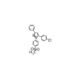 CS(=O)(=O)c1ccc(-n2nc(-c3ccccc3)cc2-c2ccc(Cl)cc2)cc1